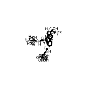 CCCCCC[C@](C)(O)[C@H]1CC[C@H]2[C@@H]3C[C@H](OC(=O)NCCCC(O)(P(=O)(O)O)P(=O)(O)O)[C@H]4C[C@@H](OC(=O)NCCCC(O)(P(=O)(O)O)P(=O)(O)O)CC[C@]4(C)[C@H]3CC[C@@]21C